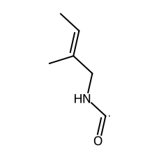 C/C=C(\C)CN[C]=O